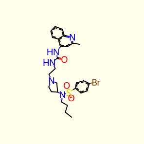 CCCCN(C1CCN(CCNC(=O)Nc2cc(C)nc3ccccc23)C1)S(=O)(=O)c1ccc(Br)cc1